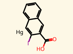 O=C(O)c1cc2ccccc2cc1I.[Hg]